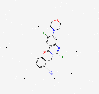 N#Cc1ccccc1Cn1c(Cl)nc2cc(N3CCOCC3)c(F)cc2c1=O